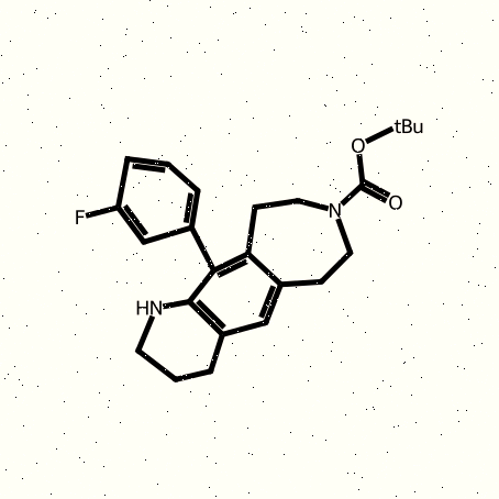 CC(C)(C)OC(=O)N1CCc2cc3c(c(-c4cccc(F)c4)c2CC1)NCCC3